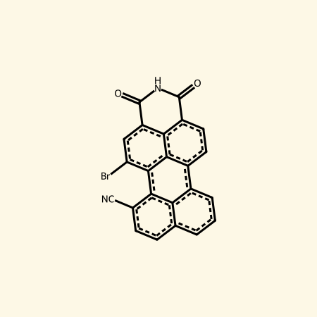 N#Cc1ccc2cccc3c4ccc5c6c(cc(Br)c(c1c23)c64)C(=O)NC5=O